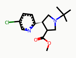 COC(=O)C1CN(C(C)(C)C)C[C@H]1c1ccc(Cl)cn1